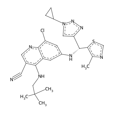 Cc1ncsc1[C@H](Nc1cc(Cl)c2ncc(C#N)c(NCC(C)(C)C)c2c1)c1cn(C2CC2)nn1